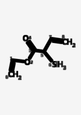 C=COC(=O)C([SiH3])C=C